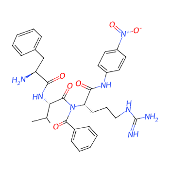 CC(C)[C@H](NC(=O)[C@@H](N)Cc1ccccc1)C(=O)N(C(=O)c1ccccc1)[C@@H](CCCNC(=N)N)C(=O)Nc1ccc([N+](=O)[O-])cc1